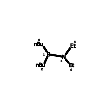 CCCCB(CCCC)N(CC)CC